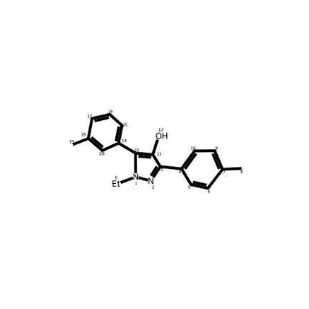 CCn1nc(-c2ccc(C)cc2)c(O)c1-c1cccc(C)c1